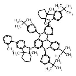 Cc1ccccc1-c1ccc2c(c1)C1(C)CCCCC1(C)N2c1cc2c3c(c1)N(c1cccc(C(C)(C)C)c1)c1cc(C(C)(C)C)ccc1B3c1ccc(N3c4ccc(C(C)(C)C)cc4C4(C)CCCCC34C)cc1N2c1ccc(C(C)(C)C)cc1